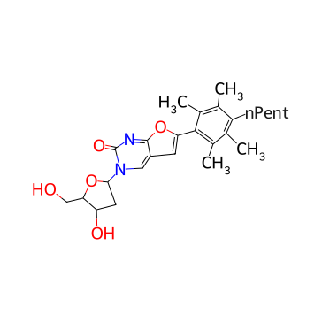 CCCCCc1c(C)c(C)c(-c2cc3cn(C4CC(O)C(CO)O4)c(=O)nc3o2)c(C)c1C